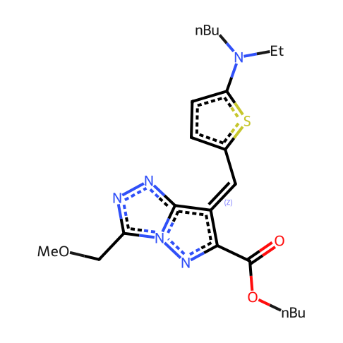 CCCCOC(=O)c1nn2c(COC)nnc2/c1=C\c1ccc(N(CC)CCCC)s1